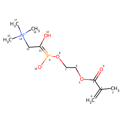 C=C(C)C(=O)OCCO/[P+]([O-])=C(\O)C[N+](C)(C)C